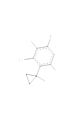 CC1(c2c(Cl)cc(F)c(I)c2Br)CC1